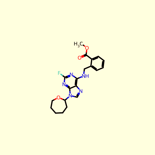 COC(=O)c1ccccc1CNc1nc(F)nc2c1ncn2C1CCCCCO1